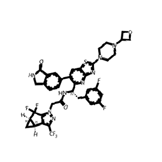 O=C(Cn1nc(C(F)(F)F)c2c1C(F)(F)[C@@H]1C[C@H]21)N[C@@H](Cc1cc(F)cc(F)c1)c1nc2nc(N3CCN(C4COC4)CC3)sc2cc1-c1ccc2c(c1)C(=O)NC2